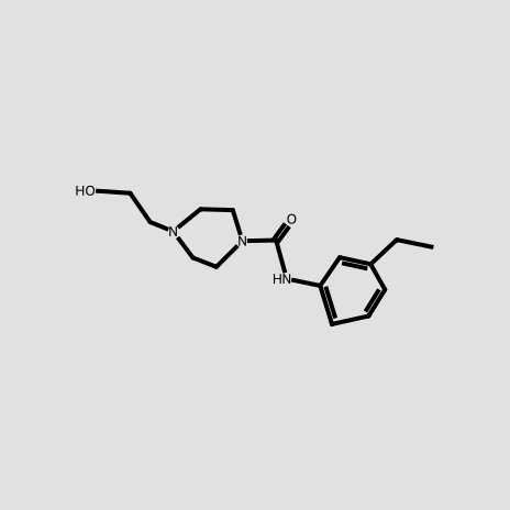 CCc1cccc(NC(=O)N2CCN(CCO)CC2)c1